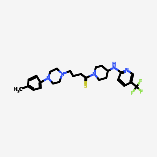 Cc1ccc(N2CCN(CCCC(=S)N3CCC(Nc4ccc(C(F)(F)F)cn4)CC3)CC2)cc1